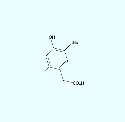 Cc1cc(O)c(C(C)(C)C)cc1CC(=O)O